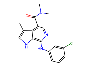 Cc1c[nH]c2c(Nc3cccc(Cl)c3)ncc(C(=O)N(C)C)c12